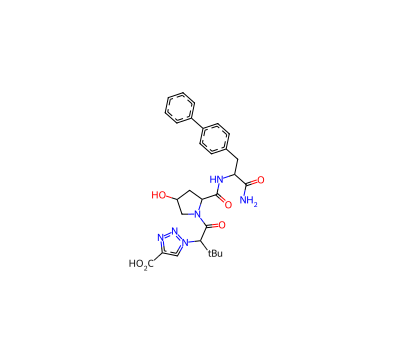 CC(C)(C)C(C(=O)N1CC(O)CC1C(=O)NC(Cc1ccc(-c2ccccc2)cc1)C(N)=O)n1cc(C(=O)O)nn1